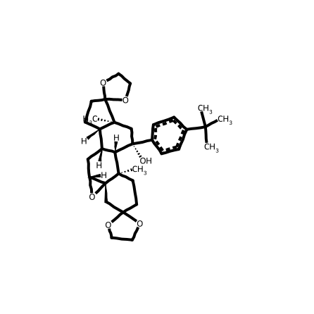 CC(C)(C)c1ccc([C@]2(O)C[C@@]3(C)[C@@H](CCC34OCCO4)[C@H]3C[C@H]4O[C@]45CC4(CC[C@]5(C)[C@H]32)OCCO4)cc1